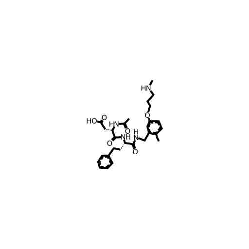 CNCCCOc1ccc(C)c(CNC(=O)[C@H](CCc2ccccc2)NC(=O)[C@H](CC(=O)O)NC(C)=O)c1